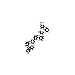 C[Si](C)(C)c1ccc(N(c2ccccc2)c2ccc3c(c2)Oc2cccc4c2c-3cc2ccc(-c3ccc(N(c5ccccc5)c5cccc6c5oc5ccccc56)cc3)cc24)cc1